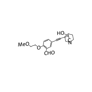 COCCOc1ccc(C#CC2(O)CN3CCC2CC3)cc1C=O